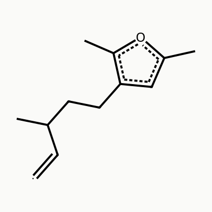 [CH]=CC(C)CCc1cc(C)oc1C